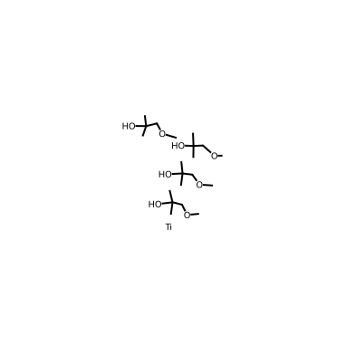 COCC(C)(C)O.COCC(C)(C)O.COCC(C)(C)O.COCC(C)(C)O.[Ti]